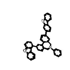 c1ccc(N2Cc3cc(-c4ccc5c(c4)oc4ccccc45)ccc3-c3cc(-c4cccc5oc6ccccc6c45)ccc3C2)cc1